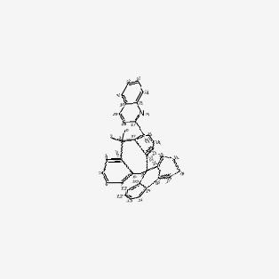 CC1(C)c2ccccc2C2(c3ccccc3-c3ccccc32)c2cccc(-c3ccc4ccccc4n3)c21